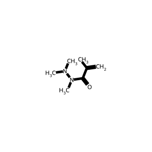 C=C(C)C(=O)N(C)N(C)C